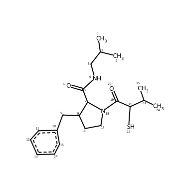 CC(C)CNC(=O)C1C(Cc2ccccc2)CCN1C(=O)C(S)C(C)C